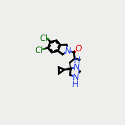 CC(C[C@]1(C2CC2)CNCN1)C(=O)N1Cc2cc(Cl)c(Cl)cc2C1